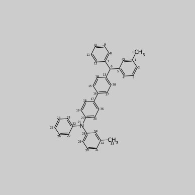 Cc1cccc(C(c2ccccc2)c2ccc(-c3ccc(N(c4ccccc4)c4cccc(C)c4)cc3)cc2)c1